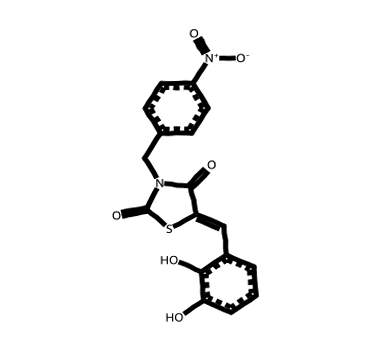 O=C1SC(=Cc2cccc(O)c2O)C(=O)N1Cc1ccc([N+](=O)[O-])cc1